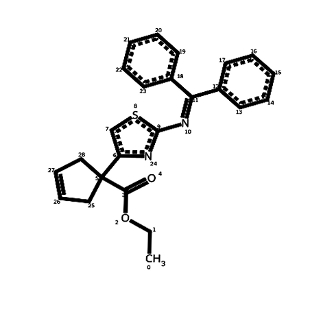 CCOC(=O)C1(c2csc(N=C(c3ccccc3)c3ccccc3)n2)CC=CC1